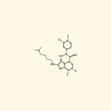 CN(C)CCCCNc1nc2c(F)c(F)cc(C(=N)N(O)c3ccc(F)c(Cl)c3)c2[nH]1